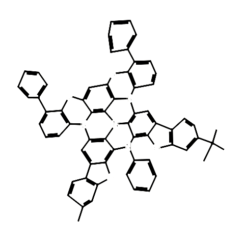 Cc1ccc2c(c1)oc1c3c4c(cc12)B1c2cccc(-c5ccccc5)c2Sc2cc5c6c(c21)N4c1c(cc2c(oc4cc(C(C)(C)C)ccc42)c1N3c1ccccc1)B6c1cccc(-c2ccccc2)c1S5